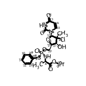 CC(C)OC(=O)[C@@H](C)N[P@](=O)(OC[C@H]1O[C@@H](n2ccc(=O)[nH]c2=O)[C@](C)(Cl)[C@@H]1O)Sc1ccccc1